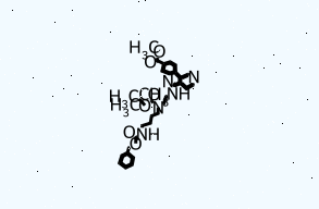 COC(=O)c1ccc2c(c1)nc(NCCN(CCCCNC(=O)OCc1ccccc1)C(=O)OC(C)(C)C)c1ccncc12